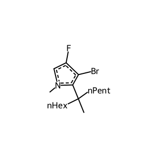 CCCCCCC(C)(CCCCC)c1c(Br)c(F)cn1C